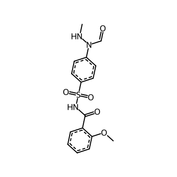 CNN(C=O)c1ccc(S(=O)(=O)NC(=O)c2ccccc2OC)cc1